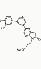 COCCCN1C(=O)Cc2cc(-c3cncc(-c4ccc(=O)n(C(C)C)c4)c3)ccc21